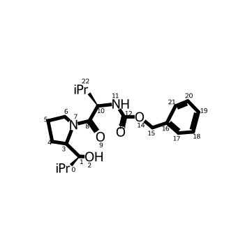 CC(C)[C@H](O)C1CCCN1C(=O)[C@H](NC(=O)OCc1ccccc1)C(C)C